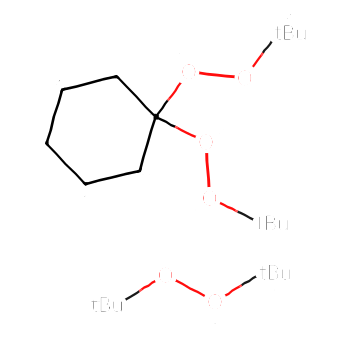 CC(C)(C)OOC(C)(C)C.CC(C)(C)OOC1(OOC(C)(C)C)CCCCC1